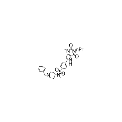 CCCn1c(=O)c2[nH]c(-c3ccc(S(=O)(=O)N(C)C4CCN(Cc5ccccc5)CC4)cc3)cc2n(C)c1=O